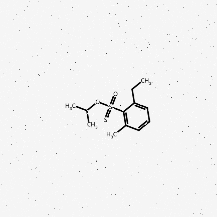 CCc1cccc(C)c1S(=O)(=S)OC(C)C